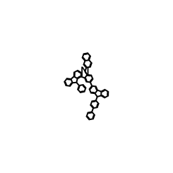 c1ccc(-c2ccc(C3c4ccccc4-c4cc(-c5ccc6c(c5)c5c7c(ccc5n6-c5ccc6ccccc6c5)-c5ccccc5C7c5ccccc5)ccc43)cc2)cc1